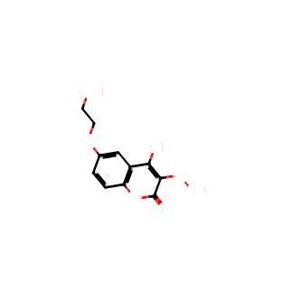 CCCCCCCCOc1c(O)c2cc(OCCO)ccc2oc1=O